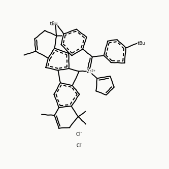 CC1=CCC(C)(C)c2cc3c(cc21)-c1cc2c(cc1[CH]3[Zr+2]([C]1=CC=CC1)=[C](c1ccc(C(C)(C)C)cc1)c1ccc(C(C)(C)C)cc1)C(C)(C)CC=C2C.[Cl-].[Cl-]